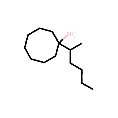 BC1(C(C)CCCC)CCCCCCC1